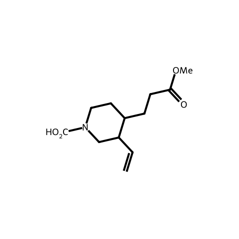 C=CC1CN(C(=O)O)CCC1CCC(=O)OC